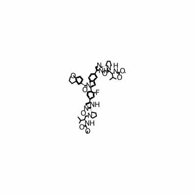 COC(=O)N[C@H](C(=O)N1CCC[C@H]1c1ncc(-c2cc(F)c3c(c2)O[C@@H](c2ccc4c(c2)CCCO4)n2c-3cc3cc(-c4cnc([C@@H]5CCCN5C(=O)[C@@H](NC(=O)OC)C(C)C)[nH]4)ccc32)[nH]1)C(C)C